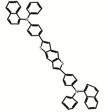 c1ccc(N(c2ccc(-c3cc4cc5sc(-c6ccc(N(c7ccccc7)c7cccc8ccccc78)cc6)cc5cc4s3)cc2)c2cccc3ccccc23)cc1